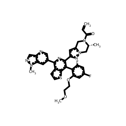 C=CC(=O)N1Cc2cc(-c3nc(-c4cnc5cnn(C)c5c4)c4ccsc4c3-c3c(F)cc(F)cc3OCCOC)nn2C[C@H]1C